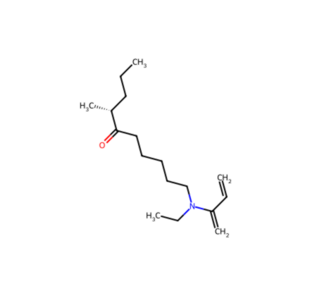 C=CC(=C)N(CC)CCCCCC(=O)[C@H](C)CCC